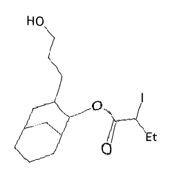 CCC(I)C(=O)OC1C(CCCO)CC2CCCC1C2